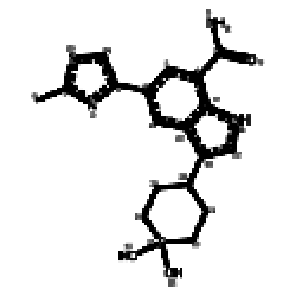 Cc1nc(-c2cc(C(N)=O)c3[nH]cc(C4CCS(O)(O)CC4)c3c2)cs1